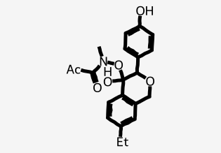 CCc1ccc2c(c1)COC(c1ccc(O)cc1)C2(O)ON(C)C(=O)C(C)=O